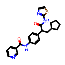 O=C(Nc1ccc(C(CC2CCCC2)C(=O)Nc2nccs2)cc1)c1cccnc1